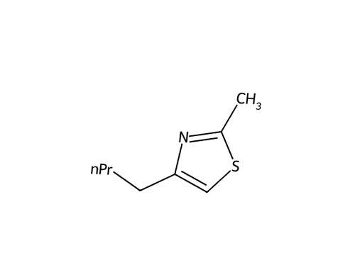 CCCCc1csc(C)n1